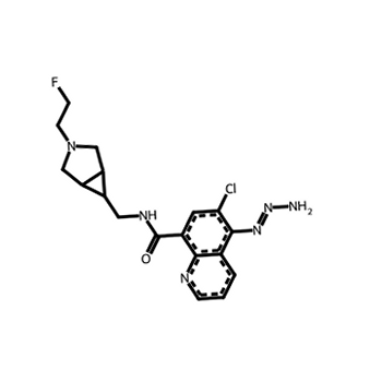 NN=Nc1c(Cl)cc(C(=O)NCC2C3CN(CCF)CC23)c2ncccc12